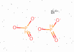 O=[PH]([O-])[O-].O=[PH]([O-])[O-].[Bi+4]